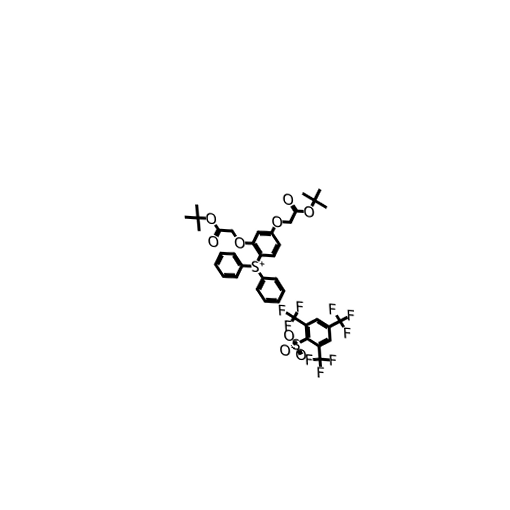 CC(C)(C)OC(=O)COc1ccc([S+](c2ccccc2)c2ccccc2)c(OCC(=O)OC(C)(C)C)c1.O=S(=O)([O-])c1c(C(F)(F)F)cc(C(F)(F)F)cc1C(F)(F)F